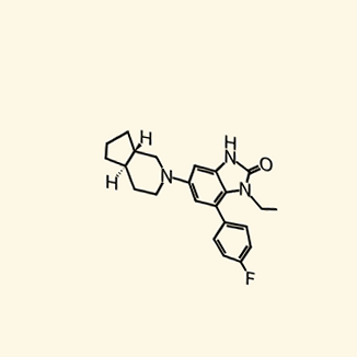 CCn1c(=O)[nH]c2cc(N3CC[C@H]4CCC[C@@H]4C3)cc(-c3ccc(F)cc3)c21